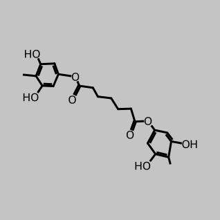 Cc1c(O)cc(OC(=O)CCCCCC(=O)Oc2cc(O)c(C)c(O)c2)cc1O